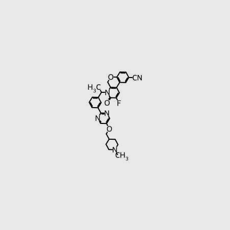 CC(c1cccc(-c2ncc(OCC3CCN(C)CC3)cn2)c1)n1c2c(cc(F)c1=O)-c1cc(C#N)ccc1OC2